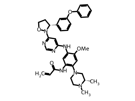 C=CC(=O)Nc1cc(Nc2cc(N3OCC[C@@H]3c3cccc(Oc4ccccc4)c3)ncn2)c(OC)cc1N1CCN(C)[C@@H](C)C1